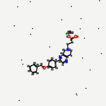 CC(C)(C)OC(=O)CCN1CCc2ncc(-c3ccc(OCc4ccccc4)cc3)nc2C1